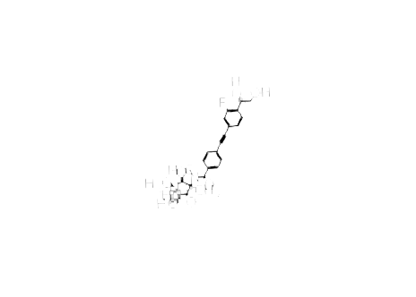 CNC(=O)[C@@](C)(C(=O)NO)N(C)C(=O)c1ccc(C#Cc2ccc([C@@H](O)CO)c(F)c2)cc1